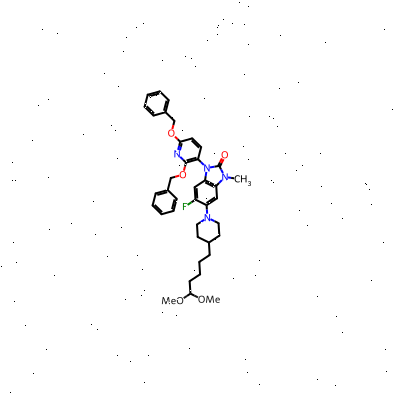 COC(CCCCC1CCN(c2cc3c(cc2F)n(-c2ccc(OCc4ccccc4)nc2OCc2ccccc2)c(=O)n3C)CC1)OC